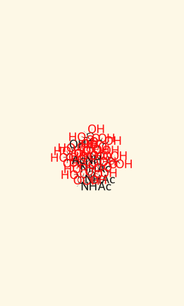 CC(=O)NC1C(O)[C@H](O[C@@H]2OC(CO)[C@H](O)[C@H](O)C2O)[C@H](CO)O[C@H]1OC1[C@@H](OCC2O[C@@H](O[C@@H]3C(CO)O[C@@H](O[C@@H]4C(CO)O[C@@H](C)C(NC(C)=O)[C@H]4O)C(NC(C)=O)[C@H]3O)C(O)[C@@H](O[C@H]3O[C@H](CO)[C@@H](O)C(O)C3O[C@@H]3OC(CO)[C@@H](O[C@@H]4OC(CO)[C@H](O)[C@H](O[C@]5(OC=O)C[C@@H](O)[C@@H](C)C([C@H](O)[C@H](O)CO)O5)C4O)[C@H](O)C3NC(C)=O)[C@@H]2O)OC(CO)[C@@H](O)[C@@H]1O